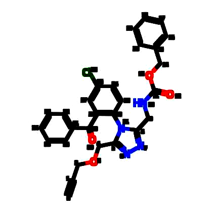 C#CCOCc1nnc(CNC(=O)OCc2ccccc2)n1-c1ccc(Cl)cc1C(=O)c1ccccc1